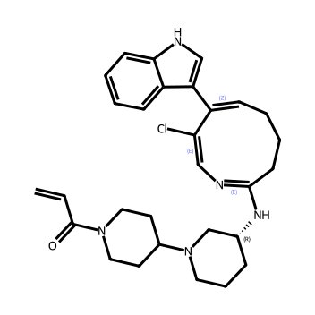 C=CC(=O)N1CCC(N2CCC[C@@H](N/C3=N/C=C(Cl)\C(c4c[nH]c5ccccc45)=C/CCC3)C2)CC1